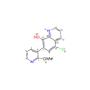 COc1ncccc1-c1cc(Cl)c2cccnc2c1O